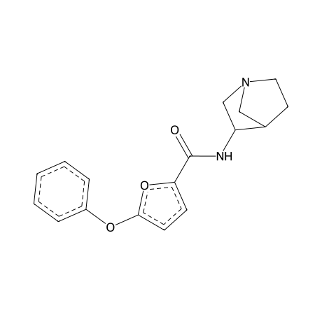 O=C(NC1CN2CCC1C2)c1ccc(Oc2ccccc2)o1